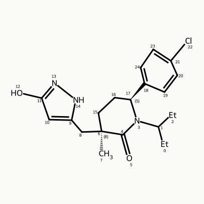 CCC(CC)N1C(=O)[C@@](C)(Cc2cc(O)n[nH]2)CC[C@H]1c1ccc(Cl)cc1